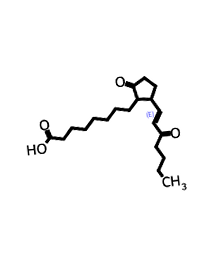 CCCCC(=O)/C=C/C1CCC(=O)C1CCCCCCCC(=O)O